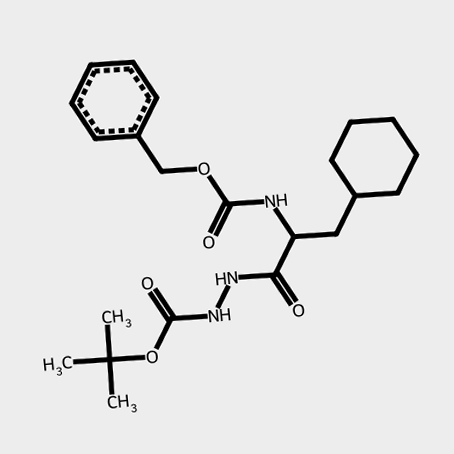 CC(C)(C)OC(=O)NNC(=O)C(CC1CCCCC1)NC(=O)OCc1ccccc1